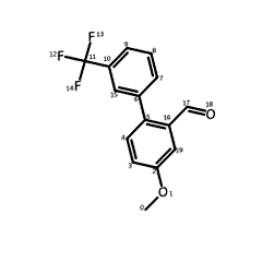 COc1ccc(-c2cccc(C(F)(F)F)c2)c(C=O)c1